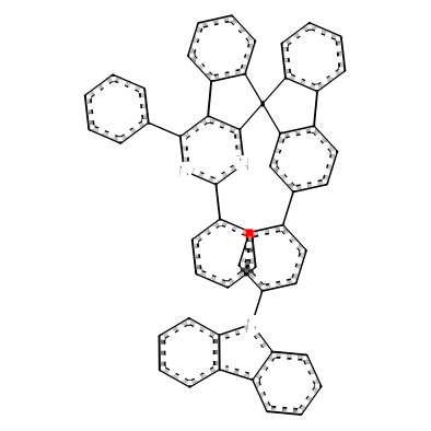 c1ccc(-c2nc(-c3ccccc3)c3c(n2)C2(c4ccccc4-c4ccc(-c5ccc(-n6c7ccccc7c7ccccc76)cc5)cc42)c2ccccc2-3)cc1